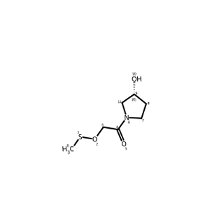 CSOCC(=O)N1CC[C@@H](O)C1